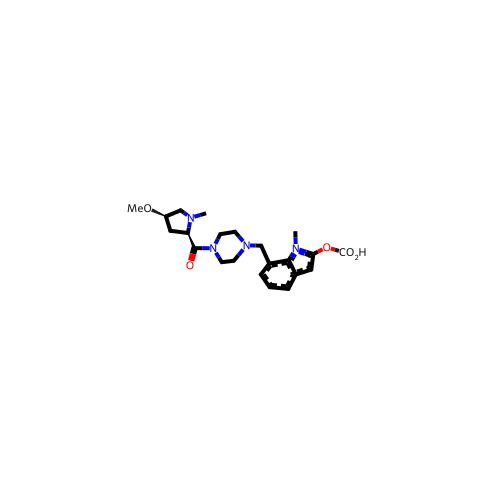 CO[C@@H]1C[C@H](C(=O)N2CCN(Cc3cccc4cc(OC(=O)O)n(C)c34)CC2)N(C)C1